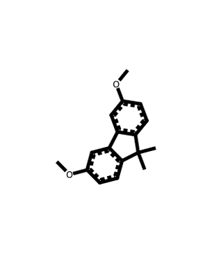 COc1ccc2c(c1)-c1cc(OC)ccc1C2(C)C